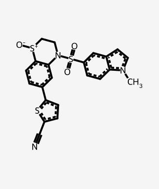 Cn1ccc2cc(S(=O)(=O)N3CC[S+]([O-])c4ccc(-c5ccc(C#N)s5)cc43)ccc21